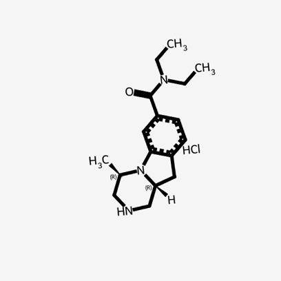 CCN(CC)C(=O)c1ccc2c(c1)N1[C@@H](CNC[C@H]1C)C2.Cl